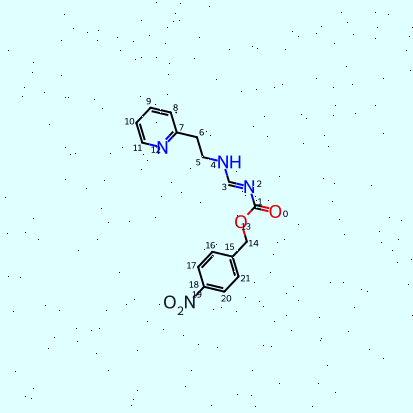 O=C(N=CNCCc1[c]cccn1)OCc1ccc([N+](=O)[O-])cc1